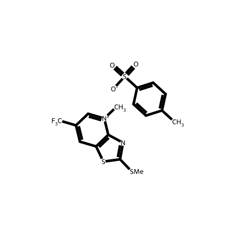 CSc1nc2c(cc(C(F)(F)F)c[n+]2C)s1.Cc1ccc(S(=O)(=O)[O-])cc1